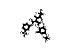 Cc1c(C(F)(F)F)nnc(Oc2c(F)cc(OC(F)(F)F)cc2F)c1C(=O)Nc1cccc(S(C)(=O)=O)c1